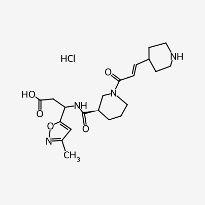 Cc1cc(C(CC(=O)O)NC(=O)[C@@H]2CCCN(C(=O)/C=C/C3CCNCC3)C2)on1.Cl